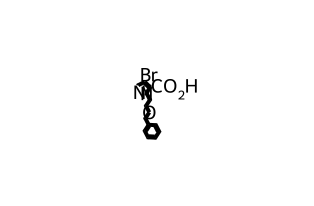 O=C(O)c1c(Br)cnn1CCOCc1ccccc1